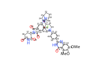 COc1cc(OC)c2c(=O)[nH]c(-c3ccc(N4CCC(CN5C6CCC5CN(c5cc7c(cc5F)C(=O)N(C5CCC(=O)NC5=O)C7=O)C6)CC4)cc3)nc2c1